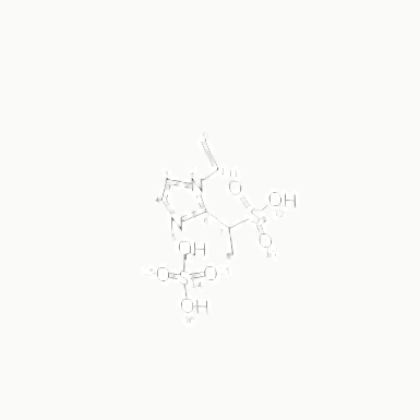 C=Cn1ccnc1C(C)S(=O)(=O)O.O=S(=O)(O)O